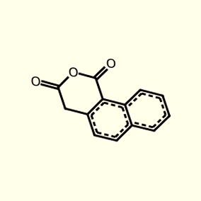 O=C1Cc2ccc3ccccc3c2C(=O)O1